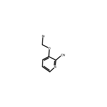 N#Cc1ncccc1OCBr